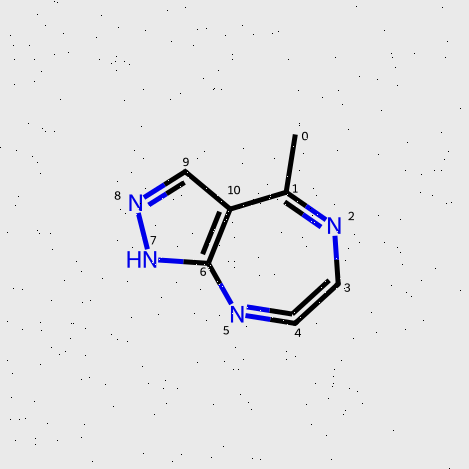 CC1=NC=C=Nc2[nH]ncc21